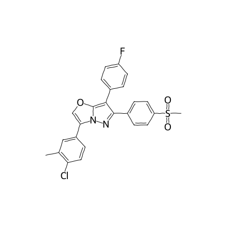 Cc1cc(-c2coc3c(-c4ccc(F)cc4)c(-c4ccc(S(C)(=O)=O)cc4)nn23)ccc1Cl